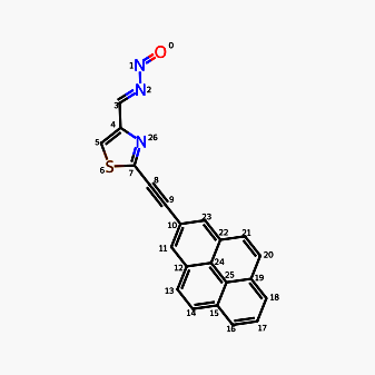 O=NN=Cc1csc(C#Cc2cc3ccc4cccc5ccc(c2)c3c45)n1